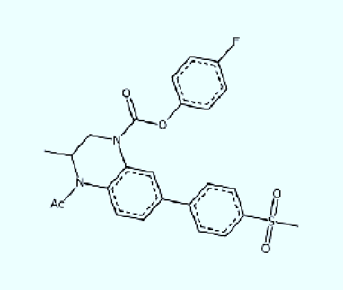 CC(=O)N1c2ccc(-c3ccc(S(C)(=O)=O)cc3)cc2N(C(=O)Oc2ccc(F)cc2)CC1C